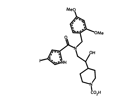 COc1ccc(CN(CC(O)C2CCN(C(=O)O)CC2)C(=O)c2cc(I)c[nH]2)c(OC)c1